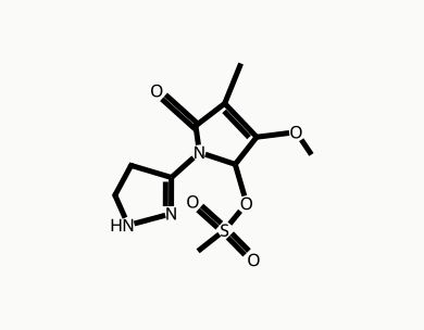 COC1=C(C)C(=O)N(C2=NNCC2)C1OS(C)(=O)=O